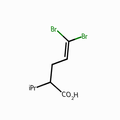 CC(C)C(CC=C(Br)Br)C(=O)O